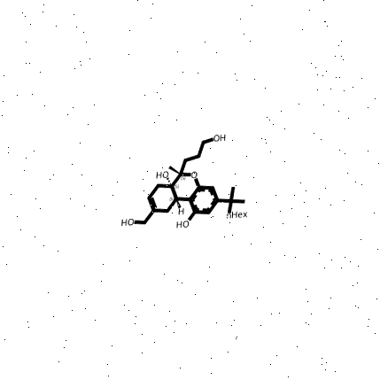 CCCCCCC(C)(C)c1cc(O)c2c(c1)O[C@@](C)(CCCO)[C@]1(O)CC=C(CO)C[C@@H]21